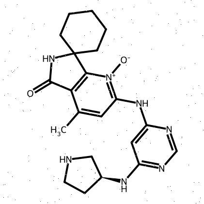 Cc1cc(Nc2cc(N[C@H]3CCNC3)ncn2)[n+]([O-])c2c1C(=O)NC21CCCCC1